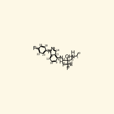 CCNCC(O)(CNc1cccc2c1cnn2-c1ccc(F)cc1)C(F)(F)F